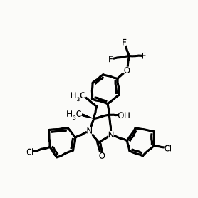 CC[C@@]1(C)N(c2ccc(Cl)cc2)C(=O)N(c2ccc(Cl)cc2)C1(O)c1cccc(OC(F)(F)F)c1